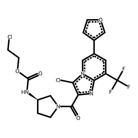 O=C(N[C@@H]1CCN(C(=O)c2nc3c(C(F)(F)F)cc(-c4ccoc4)cn3c2Cl)C1)OCCCl